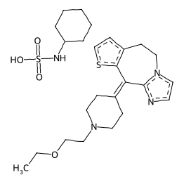 CCOCCN1CCC(=C2c3sccc3CCn3ccnc32)CC1.O=S(=O)(O)NC1CCCCC1